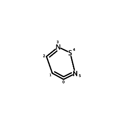 C1=CC=NSN=1